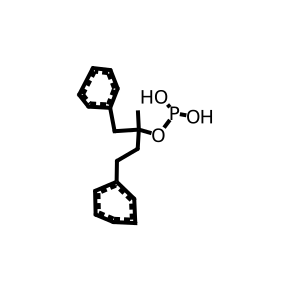 CC(CCc1ccccc1)(Cc1ccccc1)OP(O)O